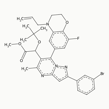 C=CCN1CCOc2c(F)cc(-c3c(C(OC(C)(C)C)C(=O)OC)c(C)nc4cc(-c5cccc(Br)c5)nn34)cc21